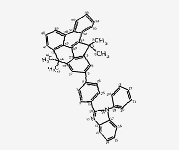 CC1(C)c2cc(-c3ccc(-c4nc5ccccc5n4-c4ccccc4)cc3)cc3c2-c2c1c1ccccc1c1cccc(c21)C3(C)C